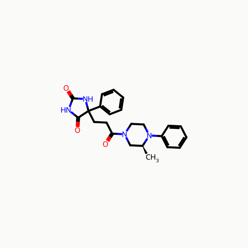 C[C@H]1CN(C(=O)CCC2(c3ccccc3)NC(=O)NC2=O)CCN1c1ccccc1